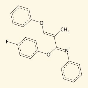 CC(=C\Oc1ccccc1)/C(=N/c1ccccc1)Oc1ccc(F)cc1